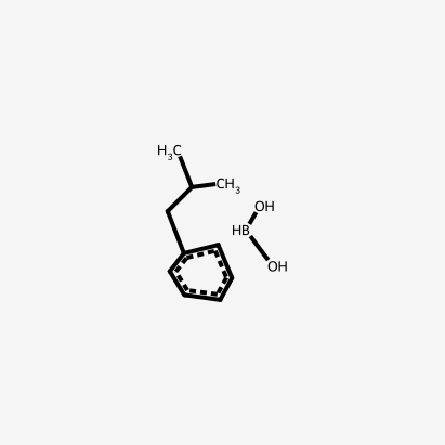 CC(C)Cc1ccccc1.OBO